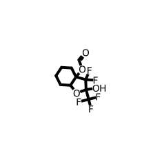 O=COC12CCCCC1OC(O)(C(F)(F)F)C2(F)F